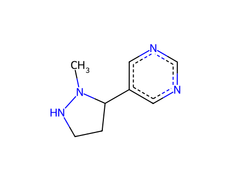 CN1NCCC1c1cncnc1